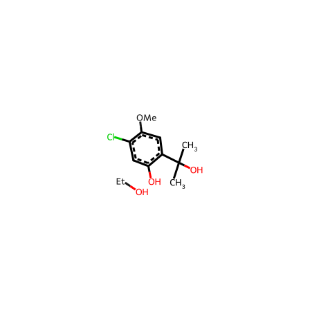 CCO.COc1cc(C(C)(C)O)c(O)cc1Cl